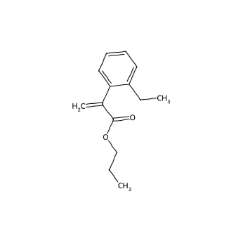 C=C(C(=O)OCCC)c1ccccc1CC